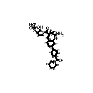 CC1(C)C(C(=O)N2CCC(OP(=O)(O)O)C2)=Cc2ccc(-c3ccc(C(=O)N4CCCCC4)cc3)cc2N=C1N